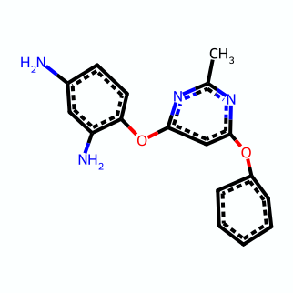 Cc1nc(Oc2ccccc2)cc(Oc2ccc(N)cc2N)n1